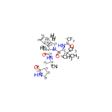 CC(C)([C@H](NC(=O)C(F)(F)F)C(=O)N1C[C@H]2[C@@H]([C@H]1C(=O)N[C@H](C#N)C[C@@H]1CCNC1=O)[C@H]1C=C[C@@H]2C1)C(F)(F)F